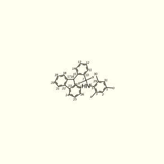 Cc1cc(C)c(NC(C)(C)c2ccccc2C2c3ccccc3-c3ccccc32)c(C)c1